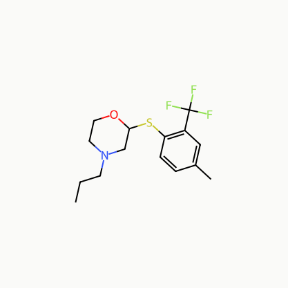 CCCN1CCOC(Sc2ccc(C)cc2C(F)(F)F)C1